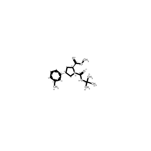 COC(=O)[C@@H]1C[C@@H](c2cccc(C)c2)CN1C(=O)OC(C)(C)C